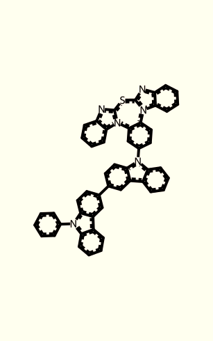 c1ccc(-n2c3ccccc3c3cc(-c4ccc5c(c4)c4ccccc4n5-c4ccc5c(c4)n4c(nc6ccccc64)sc4nc6ccccc6n45)ccc32)cc1